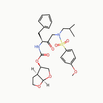 COc1ccc(S(=O)(=O)N(CC(=O)[C@H](Cc2ccccc2)NC(=O)O[C@H]2CO[C@H]3OCC[C@H]32)CC(C)C)cc1